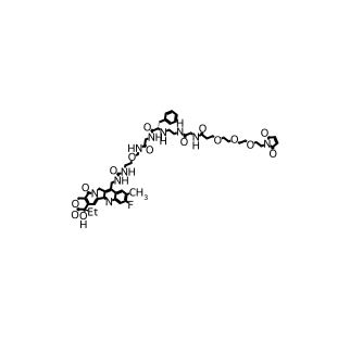 CC[C@@]1(O)C(=O)OCc2c1cc1n(c2=O)Cc2c-1nc1cc(F)c(C)cc1c2CNC(=O)NCCOCNC(=O)CNC(=O)[C@H](Cc1ccccc1)NCCNC(=O)CNC(=O)CCOCCOCCOCCN1C(=O)C=CC1=O